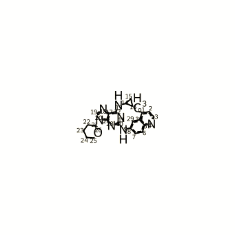 Cc1ccnc2ccc(Nc3nc(NC4CC4)c4ncn(C5CCCCO5)c4n3)cc12